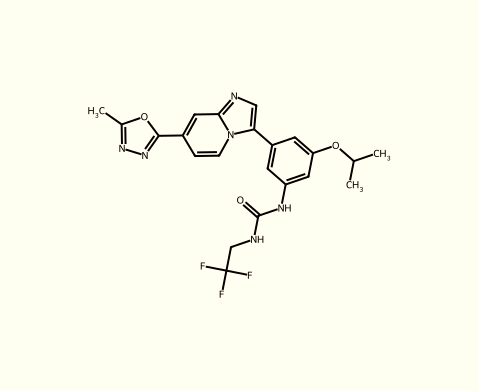 Cc1nnc(-c2ccn3c(-c4cc(NC(=O)NCC(F)(F)F)cc(OC(C)C)c4)cnc3c2)o1